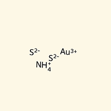 [Au+3].[NH4+].[S-2].[S-2]